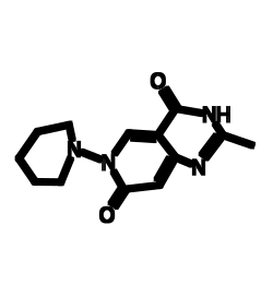 Cc1nc2cc(=O)n(N3CCCCC3)cc2c(=O)[nH]1